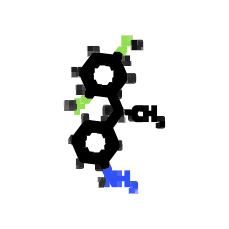 C[C@H](c1cccc(N)c1)c1cc(F)ccc1F